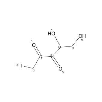 O=C(CI)C(=O)C(O)CO